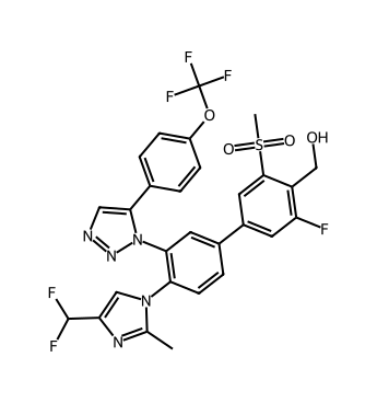 Cc1nc(C(F)F)cn1-c1ccc(-c2cc(F)c(CO)c(S(C)(=O)=O)c2)cc1-n1nncc1-c1ccc(OC(F)(F)F)cc1